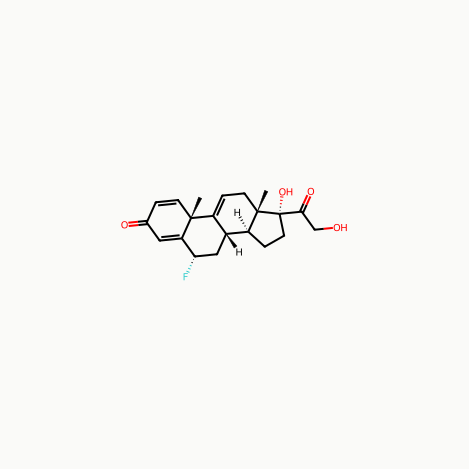 C[C@]12C=CC(=O)C=C1[C@@H](F)C[C@@H]1C2=CC[C@@]2(C)[C@H]1CC[C@]2(O)C(=O)CO